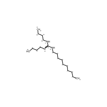 CCCCCCCCCCNC(=NCCCO)NCCCC